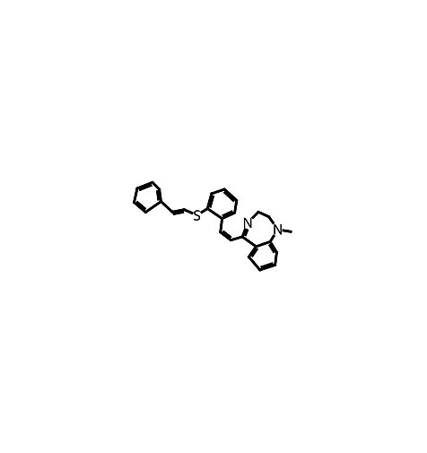 CN1CCN=C(/C=C\c2ccccc2S/C=C/c2ccccc2)c2ccccc21